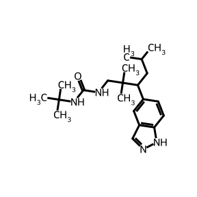 CC(C)CC(c1ccc2[nH]ncc2c1)C(C)(C)CNC(=O)NC(C)(C)C